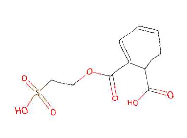 O=C(OCCS(=O)(=O)O)C1=CC=CCC1C(=O)O